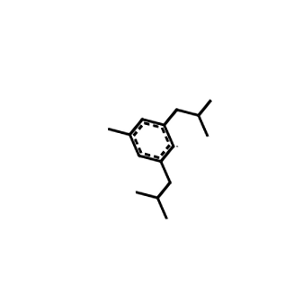 Cc1cc(CC(C)C)[c]c(CC(C)C)c1